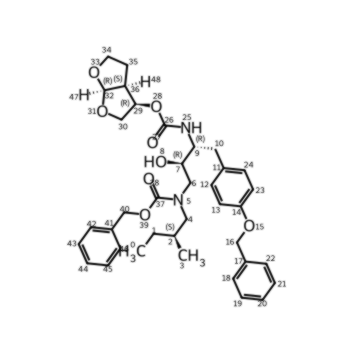 CC[C@H](C)CN(C[C@@H](O)[C@@H](Cc1ccc(OCc2ccccc2)cc1)NC(=O)O[C@H]1CO[C@H]2OCC[C@H]21)C(=O)OCc1ccccc1